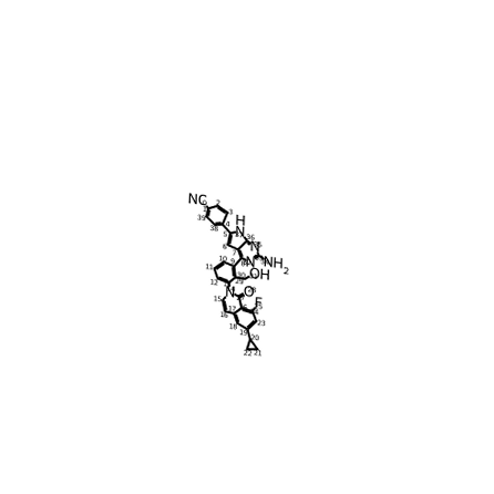 N#Cc1ccc(-c2cc3c(-c4cccc(-n5ccc6cc(C7CC7)cc(F)c6c5=O)c4CO)nc(N)nc3[nH]2)cc1